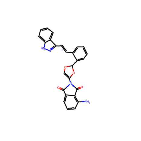 Nc1cccc2c1C(=O)N(C1=COC(c3ccccc3/C=C/c3n[nH]c4ccccc34)O1)C2=O